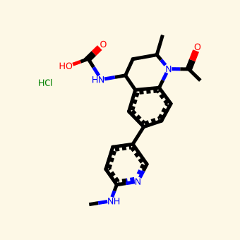 CNc1ccc(-c2ccc3c(c2)C(NC(=O)O)CC(C)N3C(C)=O)cn1.Cl